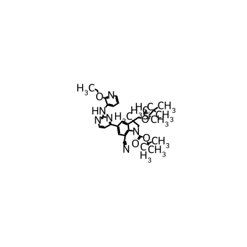 CCOc1ncccc1Nc1nccc(-c2cc(C#N)c3c(c2)C(C)(CO[Si](C)(C)C(C)(C)C)CN3C(=O)OC(C)(C)C)n1